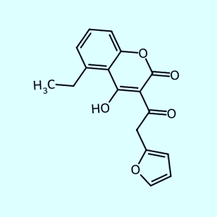 CCc1cccc2oc(=O)c(C(=O)Cc3ccco3)c(O)c12